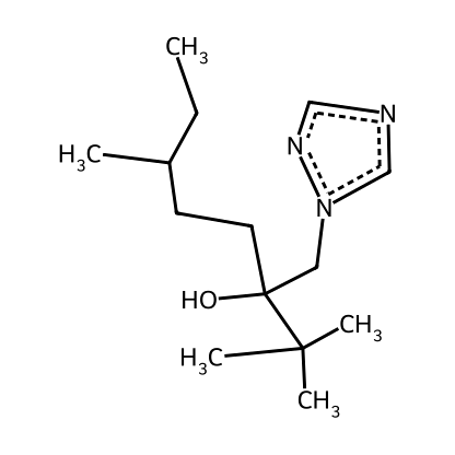 CCC(C)CCC(O)(Cn1cncn1)C(C)(C)C